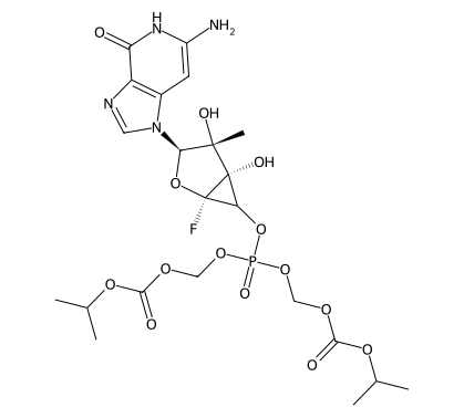 CC(C)OC(=O)OCOP(=O)(OCOC(=O)OC(C)C)OC1[C@]2(O)[C@@](C)(O)[C@H](n3cnc4c(=O)[nH]c(N)cc43)O[C@]12F